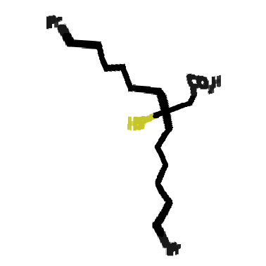 CC(C)CCCCCCC(S)(CCCCCCC(C)C)CC(=O)O